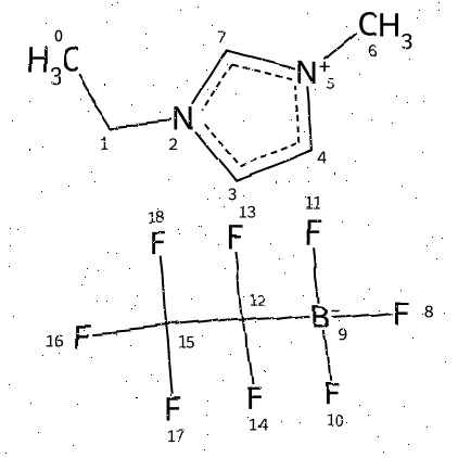 CCn1cc[n+](C)c1.F[B-](F)(F)C(F)(F)C(F)(F)F